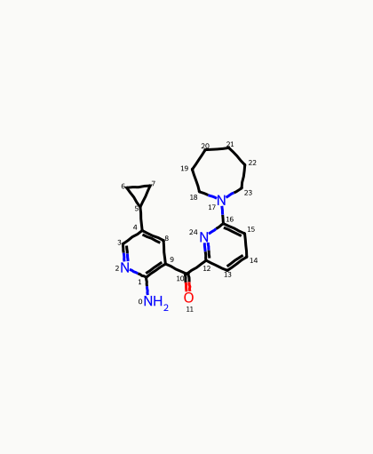 Nc1ncc(C2CC2)cc1C(=O)c1cccc(N2CCCCCC2)n1